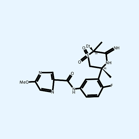 CC[C@@]1(C)C(=N)N[C@](C)(c2cc(NC(=O)c3cnc(OC)cn3)ccc2F)CS1(=O)=O